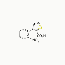 O=C(O)c1sccc1-c1ccccc1[N+](=O)[O-]